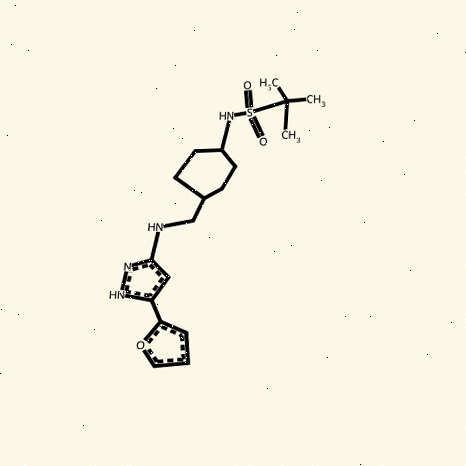 CC(C)(C)S(=O)(=O)NC1CCC(CNc2cc(-c3ccco3)[nH]n2)CC1